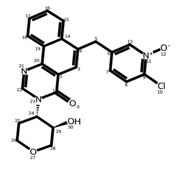 O=c1c2cc(Cc3ccc(Cl)[n+]([O-])c3)c3ccccc3c2ncn1[C@H]1CCOC[C@@H]1O